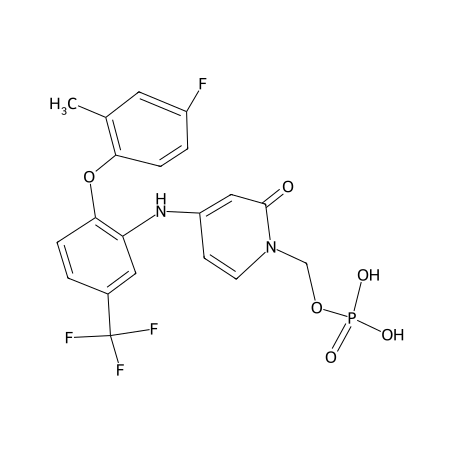 Cc1cc(F)ccc1Oc1ccc(C(F)(F)F)cc1Nc1ccn(COP(=O)(O)O)c(=O)c1